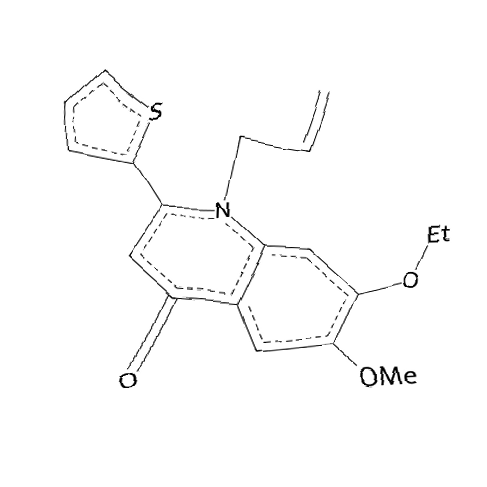 C=CCn1c(-c2cccs2)cc(=O)c2cc(OC)c(OCC)cc21